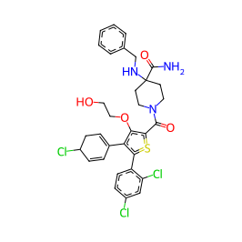 NC(=O)C1(NCc2ccccc2)CCN(C(=O)c2sc(-c3ccc(Cl)cc3Cl)c(C3=CCC(Cl)C=C3)c2OCCO)CC1